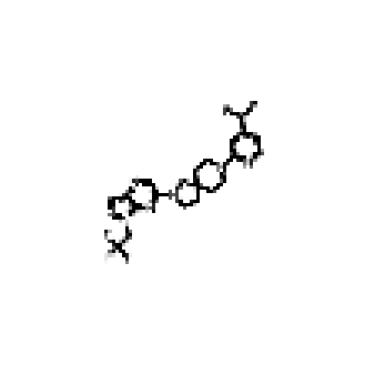 FC(F)c1ccnc(N2CCC3(CC2)CCN(c2cnc4cnn(CC(F)(F)F)c4n2)C3)c1